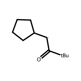 CC(C)(C)C(=O)[CH]C1CCCC1